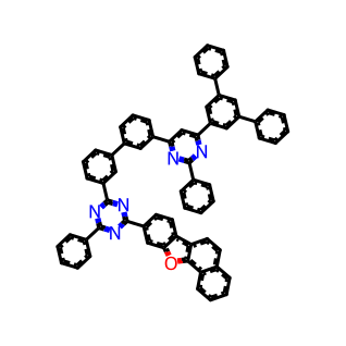 c1ccc(-c2cc(-c3ccccc3)cc(-c3cc(-c4cccc(-c5cccc(-c6nc(-c7ccccc7)nc(-c7ccc8c(c7)oc7c9ccccc9ccc87)n6)c5)c4)nc(-c4ccccc4)n3)c2)cc1